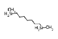 C[SiH2]CCCCCCC[SiH2]C